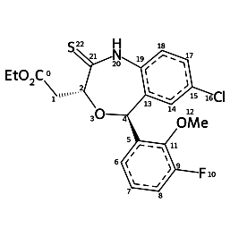 CCOC(=O)C[C@H]1O[C@H](c2cccc(F)c2OC)c2cc(Cl)ccc2NC1=S